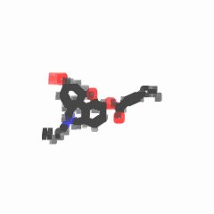 CC#CC(=O)Oc1ccc2c3c1OC1C[C@@H](O)C=C[C@@]31CCN(C)C2